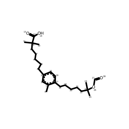 Cc1cc(CCCCCC(C)(C)C(=O)O)ccc1CCCCCC(C)(C)OC=O